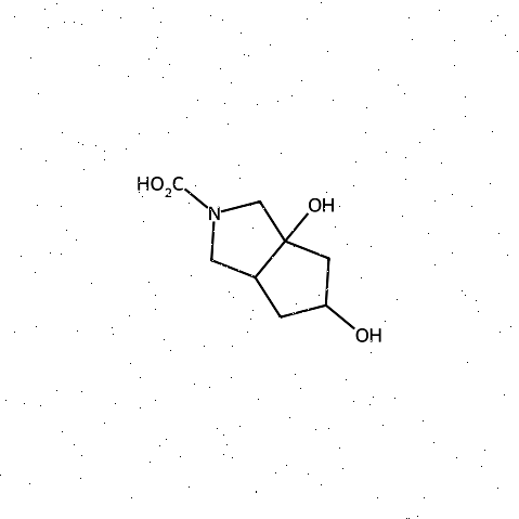 O=C(O)N1CC2CC(O)CC2(O)C1